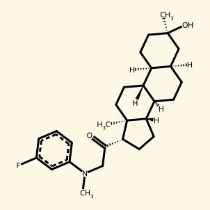 CN(CC(=O)[C@H]1CC[C@H]2[C@@H]3CC[C@@H]4C[C@](C)(O)CC[C@@H]4[C@H]3CC[C@]12C)c1cccc(F)c1